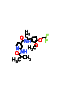 COc1cc(C(C)NC(=O)c2ccnc(NC(=O)C(C)C)c2)ccc1OCC(F)F